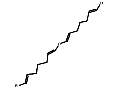 CCC=CCCCC=COC=CCCCC=CCC